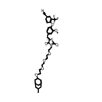 COc1cc(/C=C2\SC(=O)N(CCOCCOCCOCCOC3CC4CC(C)CC(C4)C3)C2=O)ccc1Oc1ccc(C#N)cc1C(F)(F)F